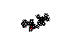 S=P1(c2nc(-c3ccccc3)nc(-c3cccc(-c4ccc5c(c4)-c4ccccc4N(c4ccc6c7ccccc7c7ccccc7c6c4)P5(=S)c4cccc5c4sc4ccccc45)c3)n2)c2ccccc2-c2cc(-c3cccc4oc5ccccc5c34)ccc2N1c1ccccc1